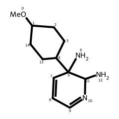 COC1CCC(C2(N)C=CC=NC2N)CC1